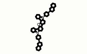 c1ccc2cc(-c3ccc(-n4c5ccccc5c5c6oc7c(ccc8c7c7ccccc7n8-c7ccc(-c8ccc9ccccc9c8)cc7)c6ccc54)cc3)ccc2c1